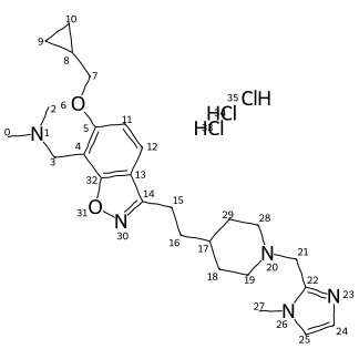 CN(C)Cc1c(OCC2CC2)ccc2c(CCC3CCN(Cc4nccn4C)CC3)noc12.Cl.Cl.Cl